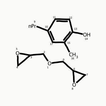 C(OCC1CO1)C1CO1.CCCc1ccc(O)c(C)c1